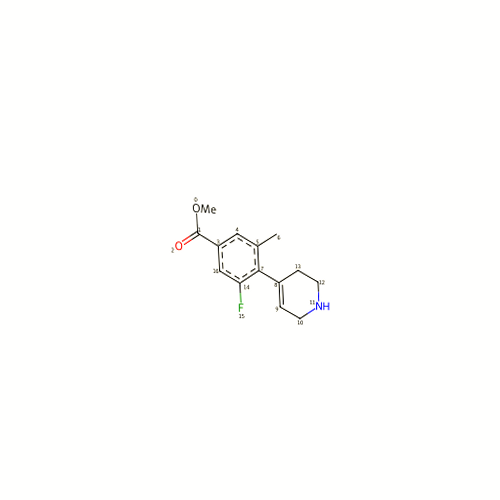 COC(=O)c1cc(C)c(C2=CCNCC2)c(F)c1